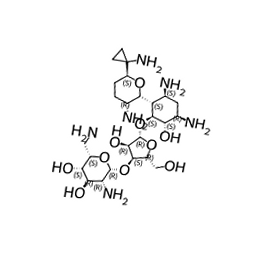 NC[C@@H]1O[C@H](O[C@H]2[C@@H](O)[C@H](O[C@@H]3[C@@H](O)[C@H](N)C[C@H](N)[C@H]3C3O[C@H](C4(N)CC4)CC[C@H]3N)O[C@@H]2CO)[C@H](N)[C@@H](O)[C@@H]1O